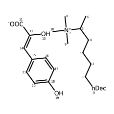 CCCCCCCCCCCCCCC(C)[N+](C)(C)C.O=C([O-])C(O)=Cc1ccc(O)cc1